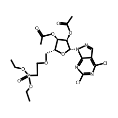 CCOP(=O)(CCOC[C@H]1O[C@@H](n2ncc3c(Cl)nc(Cl)nc32)[C@H](OC(C)=O)[C@@H]1OC(C)=O)OCC